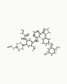 C=CCN1CCN(c2cc(OC)c(Nc3cc(N4OCCC4c4cccc(Oc5cc(F)ccc5F)c4)ncn3)cc2NC(=O)C=C)CC1